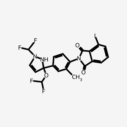 Cc1cc(C2(OC(F)F)C=CN(C(F)F)N2)ccc1N1C(=O)c2cccc(I)c2C1=O